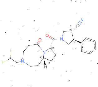 N#C[C@H]1CN(C(=O)[C@@H]2CC[C@@H]3CCN(CC(F)F)CCC(=O)N32)C[C@@H]1c1ccccc1